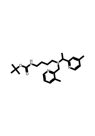 Cc1ccnc(C(C)N(CCCCNC(=O)OC(C)(C)C)Cc2ncccc2C)c1